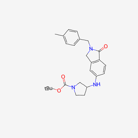 Cc1ccc(CN2Cc3cc(NC4CCN(C(=O)OC(C)(C)C)C4)ccc3C2=O)cc1